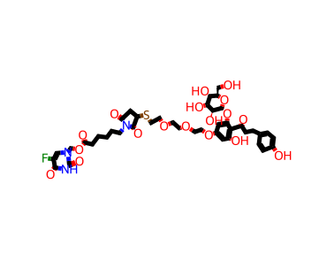 O=C(CCCCCN1C(=O)CC(SCCOCCOCCOc2cc(O)c(C(=O)CCc3ccc(O)cc3)c(O[C@@H]3O[C@H](CO)[C@@H](O)C(O)[C@H]3O)c2)C1=O)OCn1cc(F)c(=O)[nH]c1=O